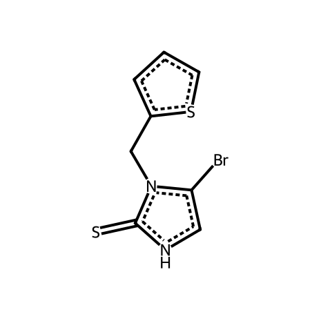 S=c1[nH]cc(Br)n1Cc1cccs1